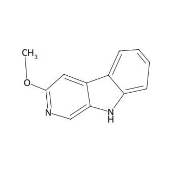 COc1cc2c(cn1)[nH]c1ccccc12